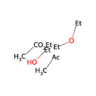 CC(C)=O.CCO.CCOC(C)=O.CCOCC